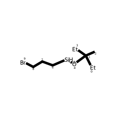 CCC(C)(CC)O[SiH2]CCCBr